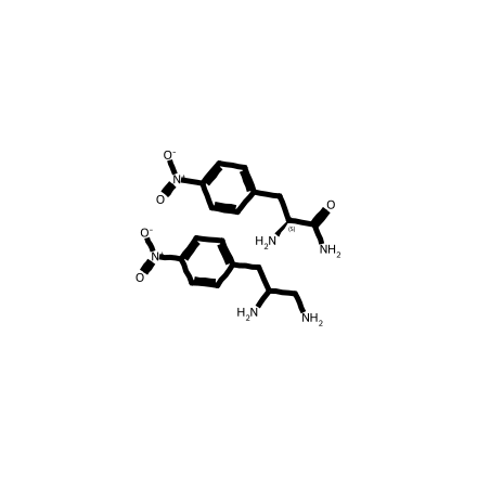 NC(=O)[C@@H](N)Cc1ccc([N+](=O)[O-])cc1.NCC(N)Cc1ccc([N+](=O)[O-])cc1